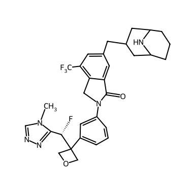 Cn1cnnc1[C@H](F)C1(c2cccc(N3Cc4c(cc(CC5CC6CCCC(C5)N6)cc4C(F)(F)F)C3=O)c2)COC1